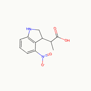 CC(C(=O)O)C1CNc2cccc([N+](=O)[O-])c21